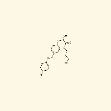 CCSCCOC(=O)C(C)Oc1ccc(COc2ccc(Cl)cc2)cc1